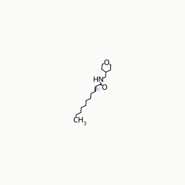 CCCCCCCC/C=C/C(=O)NCC1CCOCC1